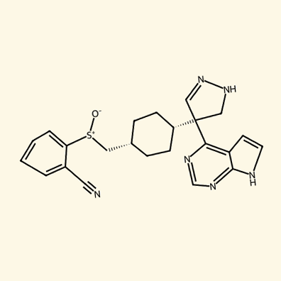 N#Cc1ccccc1[S+]([O-])C[C@H]1CC[C@@H](C2(c3ncnc4[nH]ccc34)C=NNC2)CC1